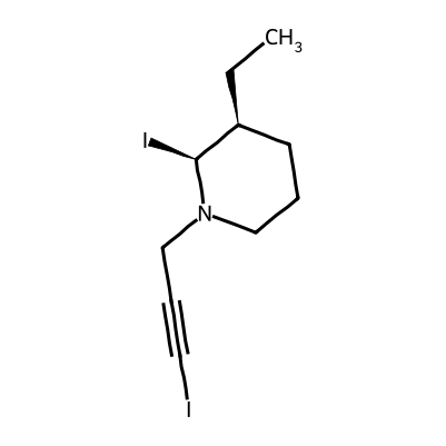 CC[C@H]1CCCN(CC#CI)[C@H]1I